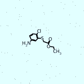 CCOC(=O)CSc1cc(N)ccc1Cl